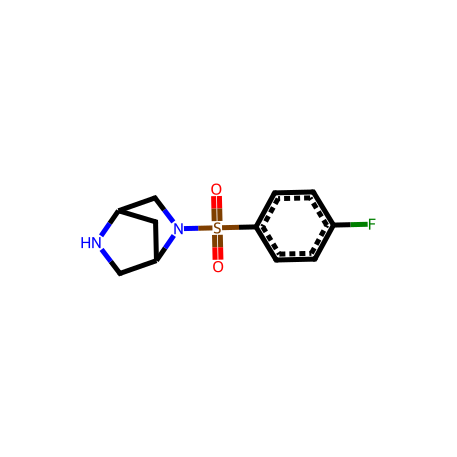 O=S(=O)(c1ccc(F)cc1)N1CC2CC1CN2